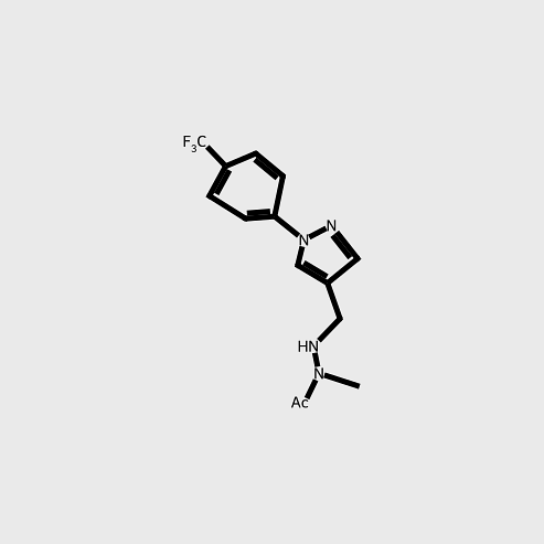 CC(=O)N(C)NCc1cnn(-c2ccc(C(F)(F)F)cc2)c1